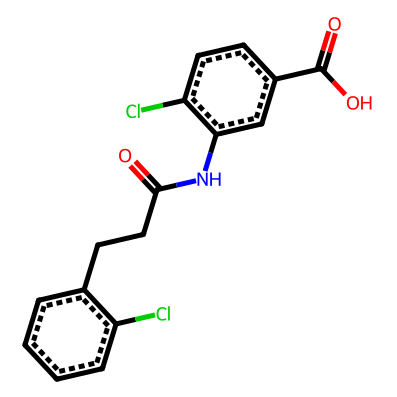 O=C(CCc1ccccc1Cl)Nc1cc(C(=O)O)ccc1Cl